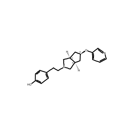 Oc1ccc(CCN2C[C@H]3C[C@@H](Oc4cccnc4)C[C@H]3C2)cc1